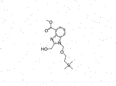 COC(=O)c1cccc2c1nc(CO)n2COCC[Si](C)(C)C